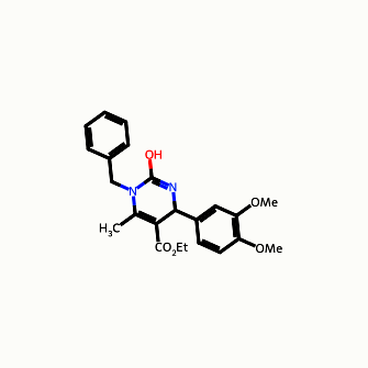 CCOC(=O)C1=C(C)N(Cc2ccccc2)C(O)=NC1c1ccc(OC)c(OC)c1